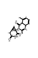 CC1=CC=CC2N=C(C)N([C@]34C=C3CC(=O)NC4=O)C(=O)C12